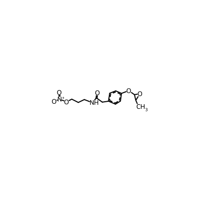 CC1OC1Oc1ccc(CC(=O)NCCCO[N+](=O)[O-])cc1